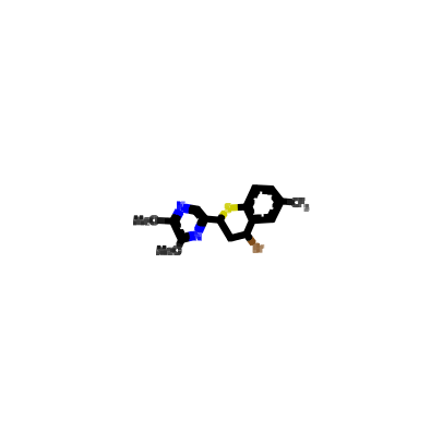 COc1ncc(C2CC(Br)c3cc(C(F)(F)F)ccc3S2)nc1OC